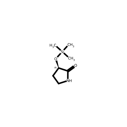 C[Si](C)(C)O[C@@H]1CCNC1=O